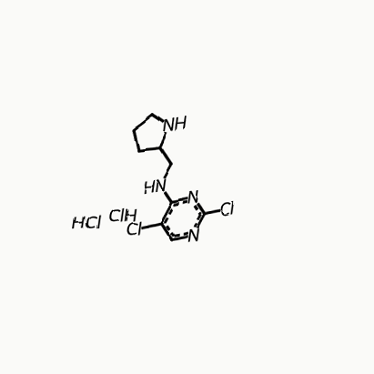 Cl.Cl.Clc1ncc(Cl)c(NCC2CCCN2)n1